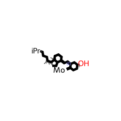 C=C1CC[C@H](O)C/C1=C/C=C1CCC[C@@]2(C)C1CC[C@@H]2[C@H](C)CCCC(C)C.[Mo]